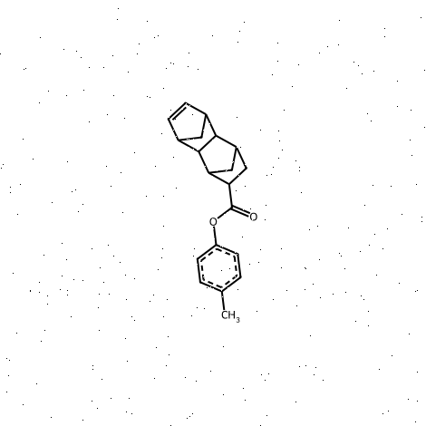 Cc1ccc(OC(=O)C2CC3CC2C2C4C=CC(C4)C32)cc1